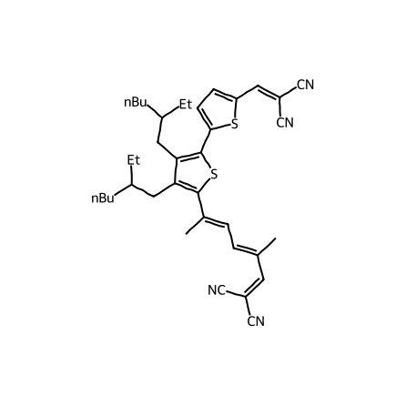 CCCCC(CC)Cc1c(/C(C)=C/C=C(\C)C=C(C#N)C#N)sc(-c2ccc(C=C(C#N)C#N)s2)c1CC(CC)CCCC